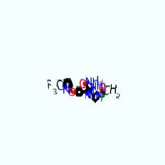 C=C(F)C(=O)N1CCC[C@@H](n2nc(-c3ccc(Oc4cccc(C(F)(F)F)n4)cc3)c(C(N)=O)c2N)C1